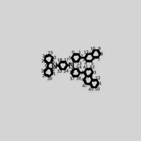 c1cc(-c2ccc3ccccc3c2)cc(N(c2ccc(-n3c4ccccc4c4ccccc43)cc2)c2cccc(-c3cccc4c3ccc3ccccc34)c2)c1